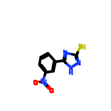 O=[N+]([O-])c1cccc(-c2nc(S)n[nH]2)c1